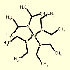 CC[N](CC)[Mo]([N](CC)CC)([N](CC)CC)[N](C(C)C)C(C)C